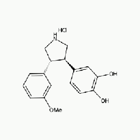 COc1cccc([C@@H]2CNC[C@H]2c2ccc(O)c(O)c2)c1.Cl